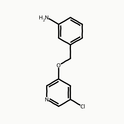 Nc1cccc(COc2cncc(Cl)c2)c1